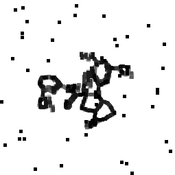 Cc1cccc(NC(=O)C2(C)CC3NCCCC3N2c2cc(C(F)(F)F)cc(C)n2)c1